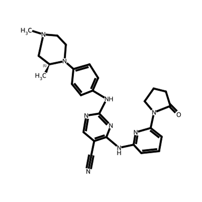 C[C@H]1CN(C)CCN1c1ccc(Nc2ncc(C#N)c(Nc3cccc(N4CCCC4=O)n3)n2)cc1